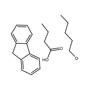 CCCC(=O)O.CCCCC[O].c1ccc2c(c1)Cc1ccccc1-2